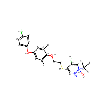 Cc1cc(Oc2ccc(Cl)cc2)cc(C)c1OCCSC1=CN[N+]([O-])(C(C)(C)C)C=C1Cl